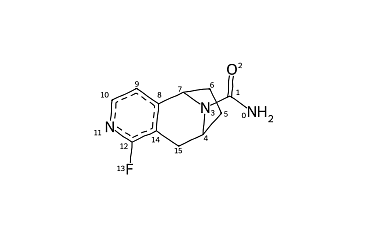 NC(=O)N1C2CCC1c1ccnc(F)c1C2